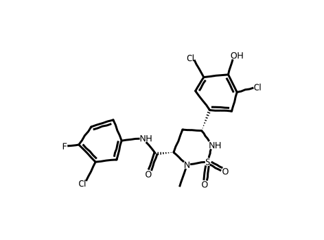 CN1[C@H](C(=O)Nc2ccc(F)c(Cl)c2)C[C@H](c2cc(Cl)c(O)c(Cl)c2)NS1(=O)=O